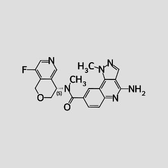 CN(C(=O)c1ccc2nc(N)c3cnn(C)c3c2c1)[C@@H]1COCc2c(F)cncc21